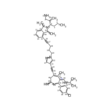 C=C(CN)C(CCC)n1c(=C)c2cccc(C#CCCCn3cc(C#CC4=C(C)/C(=C/NC(C)C)C(c5ccc(Cl)cc5)=NC(=N)C4)cn3)c2c1=C